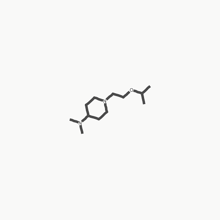 CC(C)OCCN1CCC(N(C)C)CC1